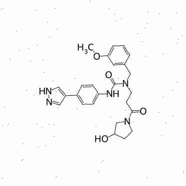 COc1cccc(CN(CCC(=O)N2CCC(O)C2)C(=O)Nc2ccc(-c3cn[nH]c3)cc2)c1